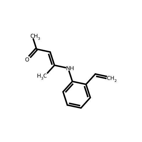 C=Cc1ccccc1N/C(C)=C/C(C)=O